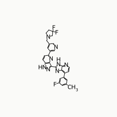 Cc1cc(F)cc(-c2ccnc3[nH]c(-c4n[nH]c5ccc(-c6cncc(CN7CCC(F)(F)C7)c6)nc45)nc23)c1